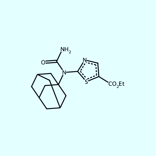 CCOC(=O)c1cnc(N(C(N)=O)C23CC4CC(CC(C4)C2)C3)s1